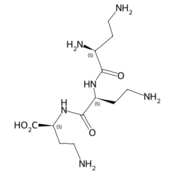 NCC[C@H](NC(=O)[C@H](CCN)NC(=O)[C@@H](N)CCN)C(=O)O